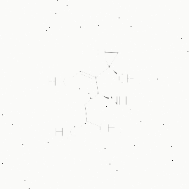 CC=C([C@@H](N)CC(C)C)[C@@]1(C)CO1